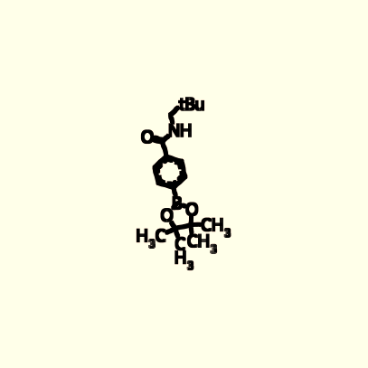 CC(C)(C)CNC(=O)c1ccc(B2OC(C)(C)C(C)(C)O2)cc1